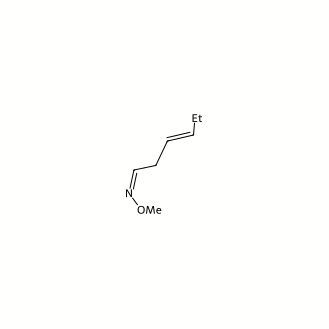 [CH2]C/C=C/C/C=N\OC